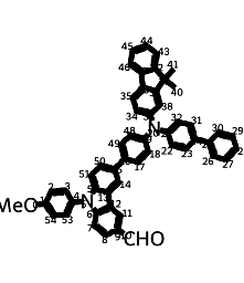 COc1ccc(-n2c3ccc(C=O)cc3c3cc(-c4ccc(N(c5ccc(-c6ccccc6)cc5)c5ccc6c(c5)C(C)(C)c5ccccc5-6)cc4)ccc32)cc1